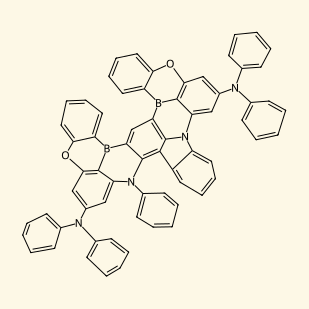 c1ccc(N(c2ccccc2)c2cc3c4c(c2)N(c2ccccc2)c2c(cc5c6c2c2ccccc2n6-c2cc(N(c6ccccc6)c6ccccc6)cc6c2B5c2ccccc2O6)B4c2ccccc2O3)cc1